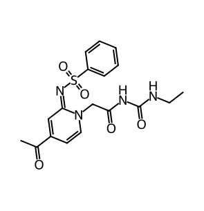 CCNC(=O)NC(=O)Cn1ccc(C(C)=O)c/c1=N/S(=O)(=O)c1ccccc1